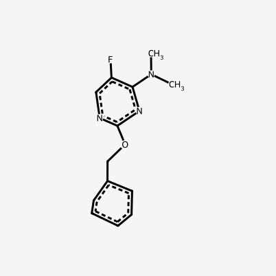 CN(C)c1nc(OCc2ccccc2)ncc1F